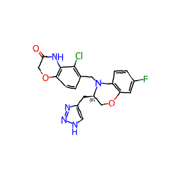 O=C1COc2ccc(CN3c4ccc(F)cc4OC[C@H]3Cc3c[nH]nn3)c(Cl)c2N1